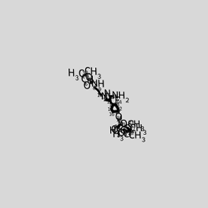 CC(C)(C)OC(=O)NCCCn1cc(-c2ccc(OC[C@@H](O[Si](C)(C)C(C)(C)C)C(=O)O)cc2F)c(N)n1